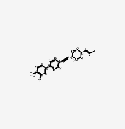 C/C=C/[C@H]1CO[C@H](C#Cc2ccc(-c3ccc(Cl)c(F)c3)nc2)OC1